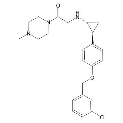 CN1CCN(C(=O)CN[C@@H]2C[C@H]2c2ccc(OCc3cccc(Cl)c3)cc2)CC1